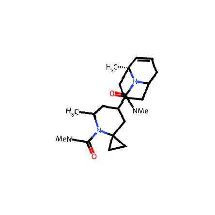 CNC(=O)N1C(C)CC(C2CC3CC=C[C@](C)(C2)N3C(=O)NC)CC12CC2